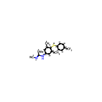 CS/C(=N\C#N)Nc1cc(C)c(Sc2ccc(C(F)(F)F)cc2)c(C)c1